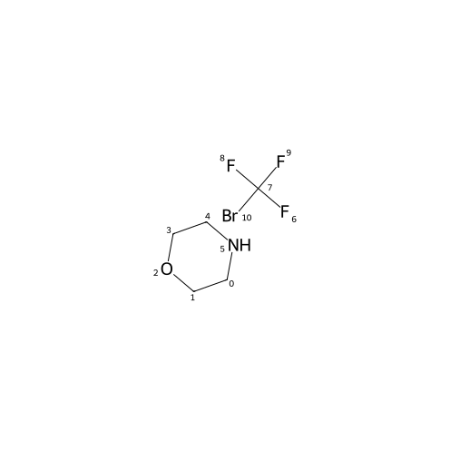 C1COCCN1.FC(F)(F)Br